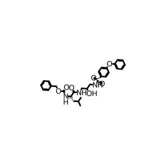 CC(C)C[C@H](NC(=O)OCc1ccccc1)C(=O)NCC(O)CNS(=O)(=O)c1ccc(Oc2ccccc2)cc1